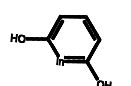 O[C]1=CC=C[C](O)=[In]1